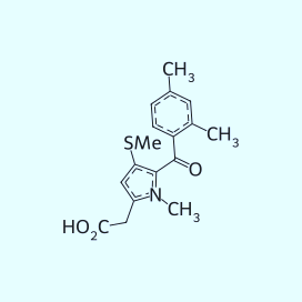 CSc1cc(CC(=O)O)n(C)c1C(=O)c1ccc(C)cc1C